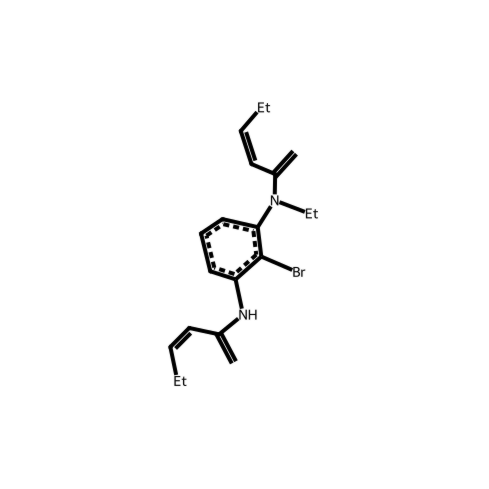 C=C(/C=C\CC)Nc1cccc(N(CC)C(=C)/C=C\CC)c1Br